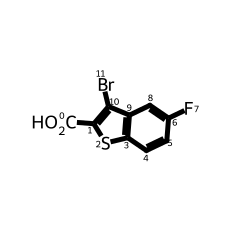 O=C(O)c1sc2ccc(F)cc2c1Br